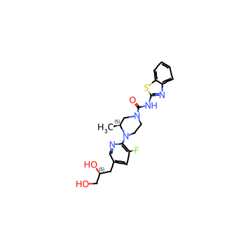 C[C@H]1CN(C(=O)Nc2nc3ccccc3s2)CCN1c1ncc(C[C@H](O)CO)cc1F